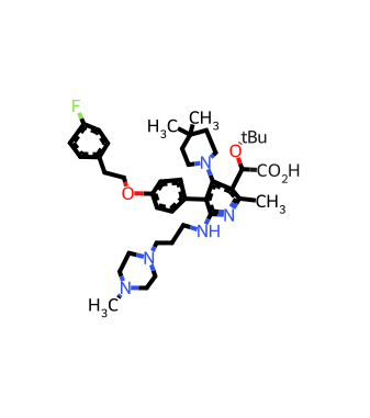 Cc1nc(NCCCN2CCN(C)CC2)c(-c2ccc(OCCc3ccc(F)cc3)cc2)c(N2CCC(C)(C)CC2)c1C(OC(C)(C)C)C(=O)O